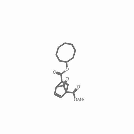 COC(=O)C12C=CC(C1=O)C(C(=O)OC1CCCCCCC1)C2